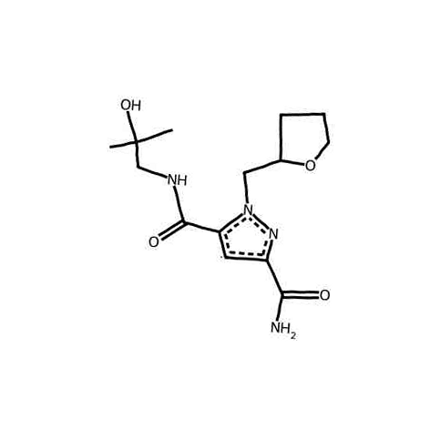 CC(C)(O)CNC(=O)c1[c]c(C(N)=O)nn1CC1CCCO1